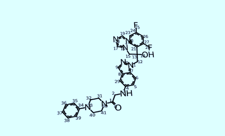 O=C(CNc1ccc2c(cnn2CC(O)(Cn2cncn2)c2ccc(F)cc2F)c1)N1CCN(c2ccccc2)CC1